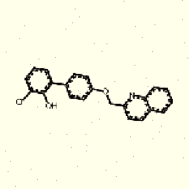 Oc1c(Cl)cccc1-c1ccc(OCc2ccc3ccccc3n2)cc1